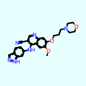 COc1cc2c(Nc3ccc4cn[nH]c4c3)c(C#N)cnc2cc1OCCCN1CCOCC1